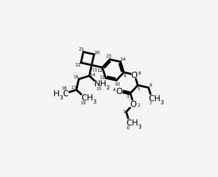 CCOC(=O)C(CC)Oc1ccc(C2(C(N)CC(C)C)CCC2)cc1